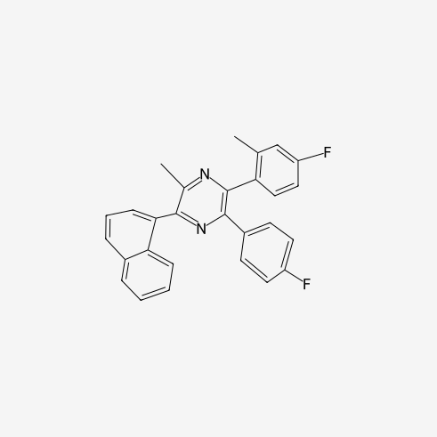 Cc1cc(F)ccc1-c1nc(C)c(-c2cccc3ccccc23)nc1-c1ccc(F)cc1